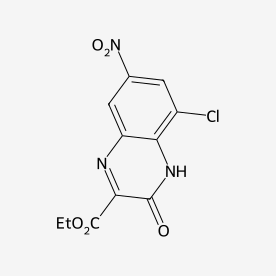 CCOC(=O)c1nc2cc([N+](=O)[O-])cc(Cl)c2[nH]c1=O